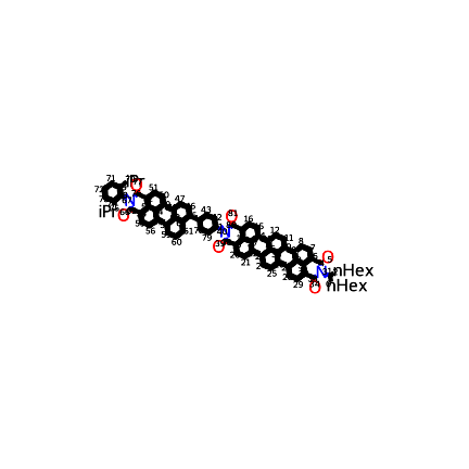 CCCCCCC(CCCCCC)N1C(=O)c2ccc3c4ccc5c6ccc7c8c(ccc(c9ccc(c%10ccc(c2c3%10)C1=O)c4c59)c86)C(=O)N(c1ccc(-c2ccc3c4ccc5c6c(ccc(c8cccc2c83)c64)C(=O)N(c2c(C(C)C)cccc2C(C)C)C5=O)cc1)C7=O